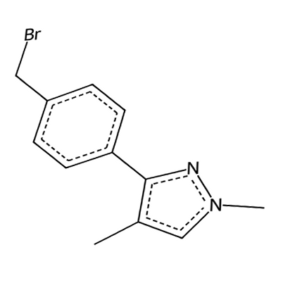 Cc1cn(C)nc1-c1ccc(CBr)cc1